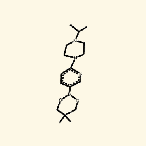 CC(C)N1CCN(c2ccc(B3OCC(C)(C)CO3)cn2)CC1